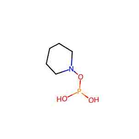 OP(O)ON1CCCCC1